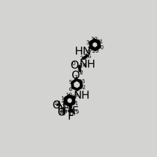 O=C(CO[C@H]1CC[C@H](Nc2ccc([N+](=O)[O-])c(C(F)(F)F)c2)CC1)NCCNc1ccccc1